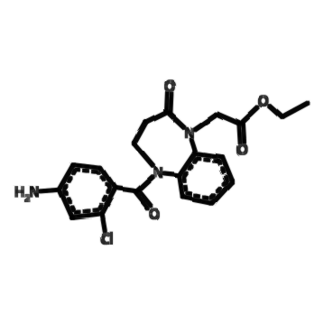 CCOC(=O)CN1C(=O)CCN(C(=O)c2ccc(N)cc2Cl)c2ccccc21